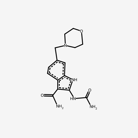 NC(=O)Nc1[nH]c2cc(CN3CCOCC3)ccc2c1C(N)=O